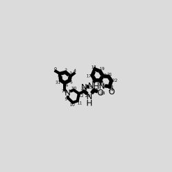 Cc1cc(C)cc(CN2CCCC(c3nn(-c4cccc5ccc(=O)[nH]c45)c(=O)[nH]3)C2)c1